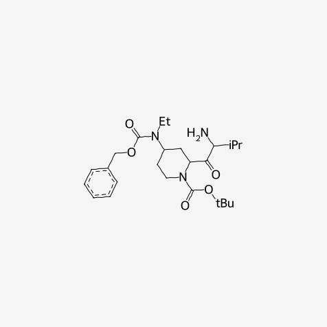 CCN(C(=O)OCc1ccccc1)C1CCN(C(=O)OC(C)(C)C)C(C(=O)C(N)C(C)C)C1